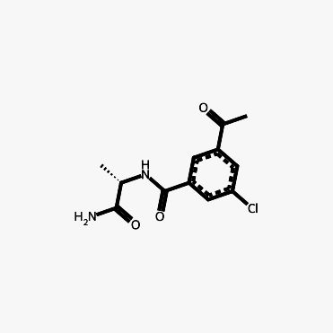 CC(=O)c1cc(Cl)cc(C(=O)N[C@@H](C)C(N)=O)c1